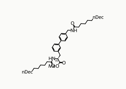 CCCCCCCCCCCCCCCC(=O)NCc1ccc(-c2cccc(C[C@H](NC(=O)CCCCCCCCCCCCCCC)C(=O)OC)c2)cc1